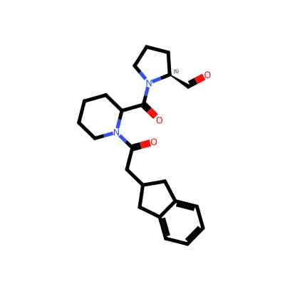 O=C[C@@H]1CCCN1C(=O)C1CCCCN1C(=O)CC1Cc2ccccc2C1